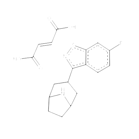 Fc1ccc2c(C3CC4CCC(C3)N4)nsc2c1.O=C(O)/C=C/C(=O)O